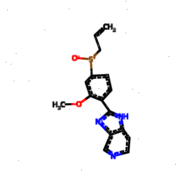 C=CC[S+]([O-])c1ccc(-c2nc3cnccc3[nH]2)c(OC)c1